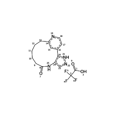 O=C(O)C(F)(F)F.O=C1CCCCCc2cc(ccn2)-c2[nH]ncc2N1